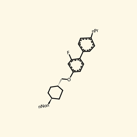 CCCCCCCCC[C@H]1CC[C@H](COc2ccc(-c3ccc(CCC)cc3)c(F)c2)CC1